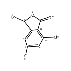 O=C1OC(Br)c2cc(Cl)cc(Cl)c21